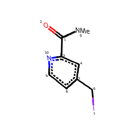 CNC(=O)c1cc(CI)ccn1